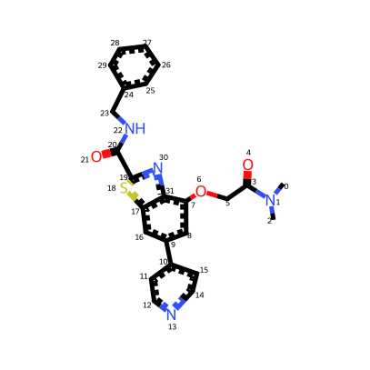 CN(C)C(=O)COc1cc(-c2ccncc2)cc2sc(C(=O)NCc3ccccc3)nc12